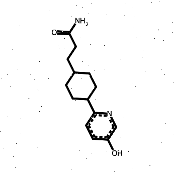 NC(=O)CCC1CCC(c2ccc(O)cn2)CC1